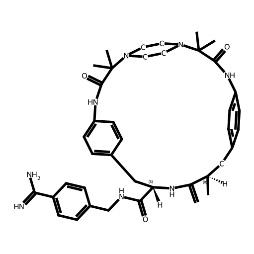 C=C1N[C@H](C(=O)NCc2ccc(C(=N)N)cc2)Cc2ccc(cc2)NC(=O)C(C)(C)N2CCN(CC2)C(C)(C)C(=O)Nc2ccc(cc2)C[C@H]1C